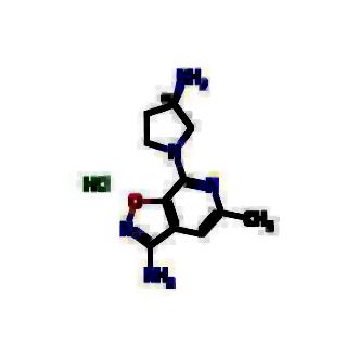 Cc1cc2c(N)noc2c(N2CC[C@@H](N)C2)n1.Cl